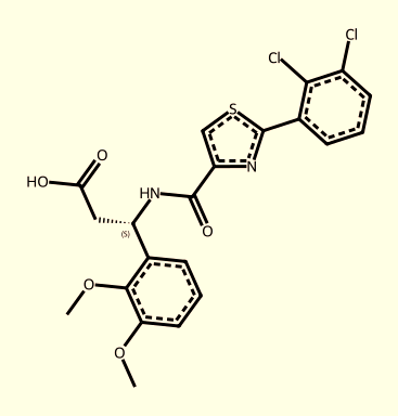 COc1cccc([C@H](CC(=O)O)NC(=O)c2csc(-c3cccc(Cl)c3Cl)n2)c1OC